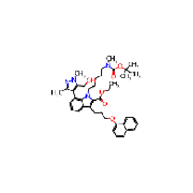 CCOC(=O)c1c(CCCOc2cccc3ccccc23)c2cccc(-c3c(C)nn(C)c3CO)c2n1CCCCCN(C)C(=O)OC(C)(C)C